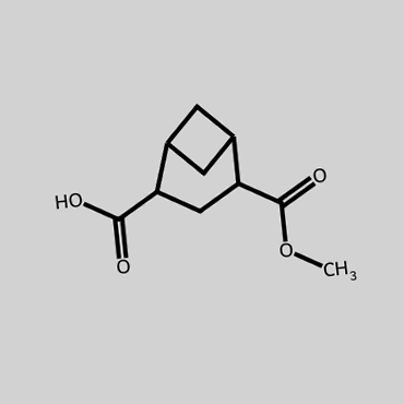 COC(=O)C1CC(C(=O)O)C2CC1C2